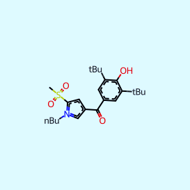 CCCCn1cc(C(=O)c2cc(C(C)(C)C)c(O)c(C(C)(C)C)c2)cc1S(C)(=O)=O